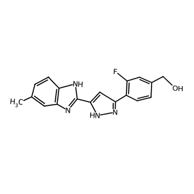 Cc1ccc2[nH]c(-c3cc(-c4ccc(CO)cc4F)n[nH]3)nc2c1